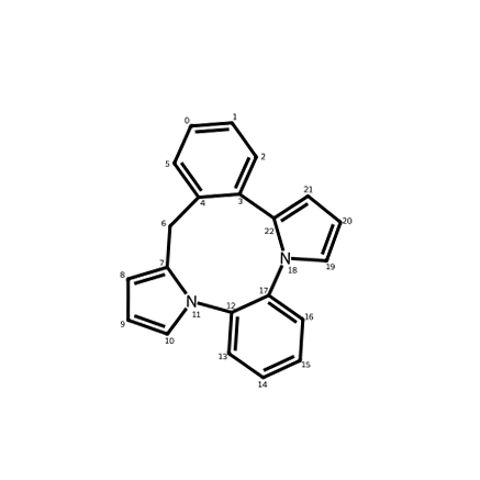 c1ccc2c(c1)Cc1cccn1-c1ccccc1-n1cccc1-2